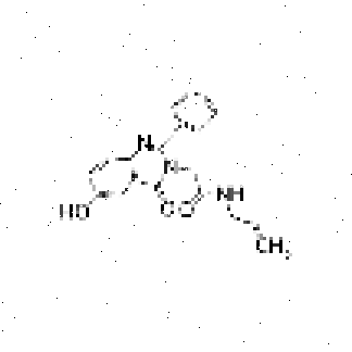 C=CCNC(=O)Cn1c(-c2ccccc2)nc2ccc(O)cc2c1=O